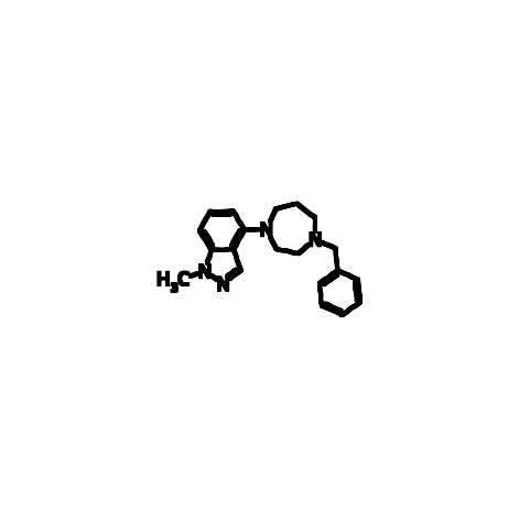 Cn1ncc2c(N3CCCN(Cc4ccccc4)CC3)cccc21